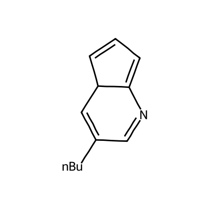 CCCCC1=CC2C=CC=C2N=C1